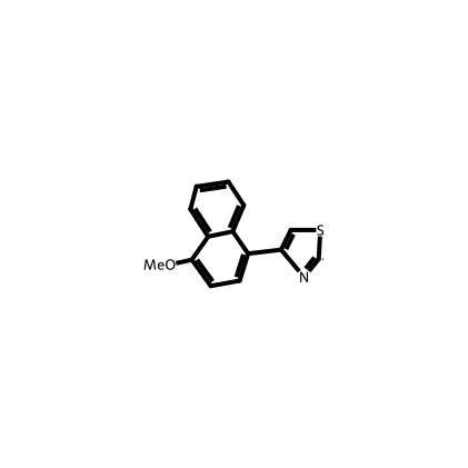 COc1ccc(-c2cs[c]n2)c2ccccc12